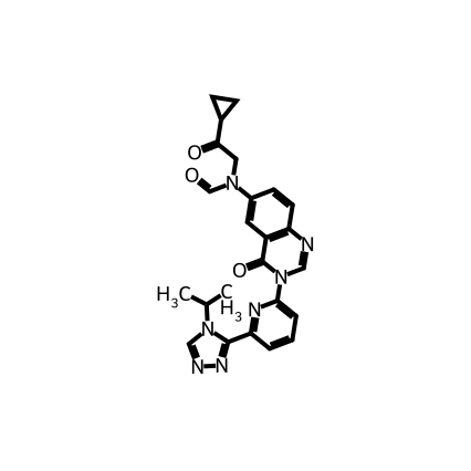 CC(C)n1cnnc1-c1cccc(-n2cnc3ccc(N(C=O)CC(=O)C4CC4)cc3c2=O)n1